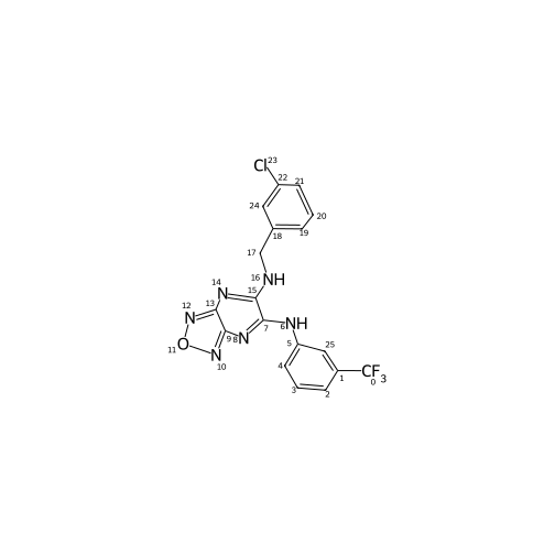 FC(F)(F)c1cccc(Nc2nc3nonc3nc2NCc2cccc(Cl)c2)c1